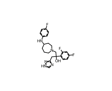 OC(Cc1nc[nH]n1)(CN1CCCC(Nc2ccc(F)cc2)CC1)c1ccc(F)cc1F